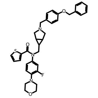 O=C(c1cccs1)N(CC1C2CN(Cc3ccc(OCc4ccccc4)cc3)CC21)c1ccc(N2CCOCC2)c(F)c1